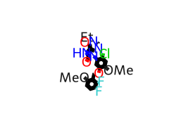 CCOc1ncnc2c1[nH]c(=O)n2-c1cc(OCc2c(OC)ccc(F)c2F)c(OC)cc1Cl